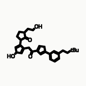 CC(C)(C)CCc1cccc(C2=CC(C(=O)CC3=CC(O)C=C3C3CCC(CCO)C3=O)=CC2)c1